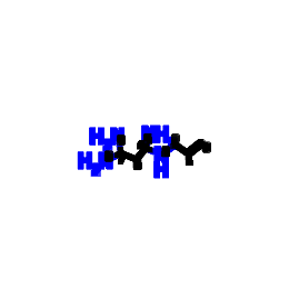 C=CCNC(N)CC(N)N